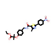 CCOC(=O)C(C)(C)Oc1ccc(CNC(=O)c2sc(-c3ccc([N+](=O)[O-])cc3)nc2C)cc1